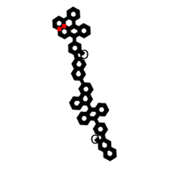 c1ccc(-c2ccccc2-c2c3ccccc3c(-c3ccc4c(c3)oc3cc5cc(-c6ccc7cc(-c8c9ccccc9c(-c9ccc%10c(c9)oc9cc%11ccccc%11cc9%10)c9ccccc89)c8ccccc8c7c6)ccc5cc34)c3ccccc23)cc1